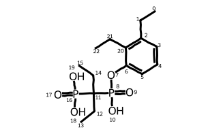 CCc1cccc(OP(=O)(O)C(CC)(CC)P(=O)(O)O)c1CC